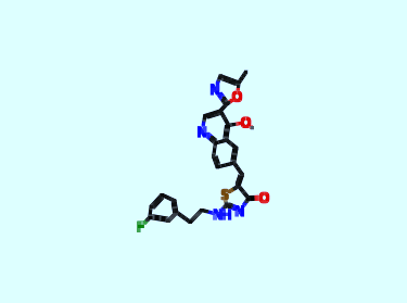 COc1c(-c2ncc(C)o2)cnc2ccc(/C=C3\SC(NCCc4cccc(F)c4)=NC3=O)cc12